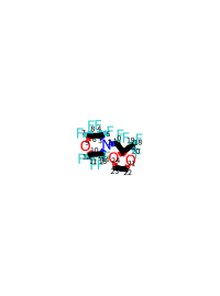 FC(N1C(F)(F)C(F)(F)OC(F)(F)C1(F)F)C1(C(F)(F)F)OCCO1